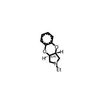 CCN1C[C@H]2Oc3ccccc3O[C@@H]2C1